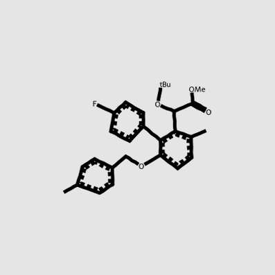 COC(=O)C(OC(C)(C)C)c1c(C)ccc(OCc2ccc(C)cc2)c1-c1ccc(F)cc1